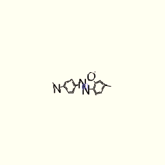 COc1cc(C)ccc1/N=N/c1ccc(N(C)C)cc1